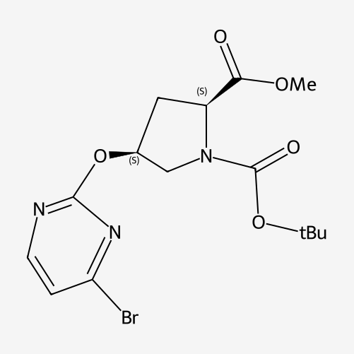 COC(=O)[C@@H]1C[C@H](Oc2nccc(Br)n2)CN1C(=O)OC(C)(C)C